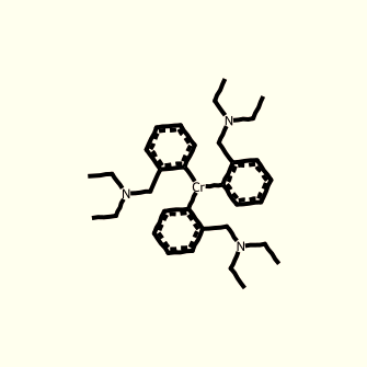 CCN(CC)Cc1cccc[c]1[Cr]([c]1ccccc1CN(CC)CC)[c]1ccccc1CN(CC)CC